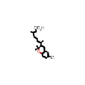 CCc1ccc2c(c1)C=C(C(C)=CC=CC(C)=CC(=O)O)C(C)(C)O2